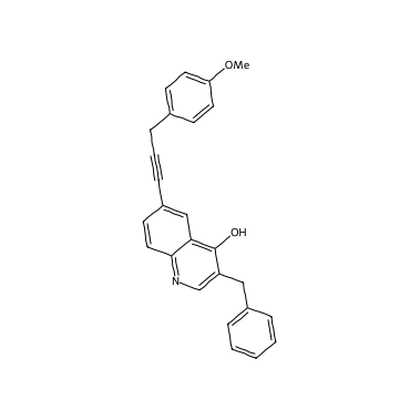 COc1ccc(CC#Cc2ccc3ncc(Cc4ccccc4)c(O)c3c2)cc1